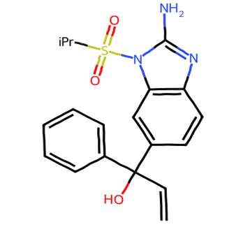 C=CC(O)(c1ccccc1)c1ccc2nc(N)n(S(=O)(=O)C(C)C)c2c1